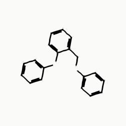 c1ccc(SCc2ccccc2Sc2ccccc2)cc1